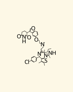 CCCC1(C)[C@H](CCN(C)CCOc2ccc3occ(C4CCC(=O)NC4=O)c3c2)N=C(c2ccc(Cl)cc2)c2c(sc(C)c2C)N1C(C)=N